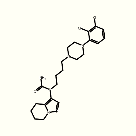 NC(=O)N(CCCCN1CCN(c2cccc(Cl)c2Cl)CC1)c1cnn2c1CCCC2